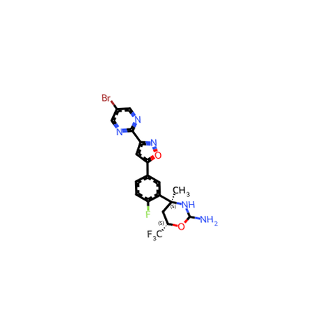 C[C@@]1(c2cc(-c3cc(-c4ncc(Br)cn4)no3)ccc2F)C[C@@H](C(F)(F)F)OC(N)N1